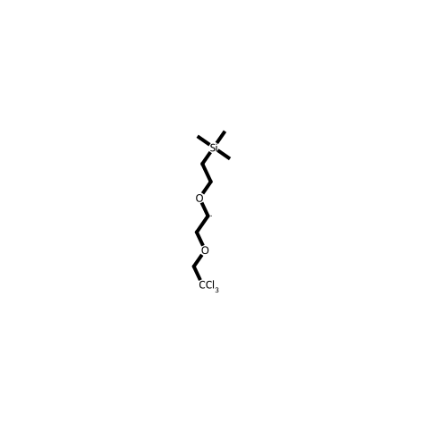 C[Si](C)(C)CCO[CH]COCC(Cl)(Cl)Cl